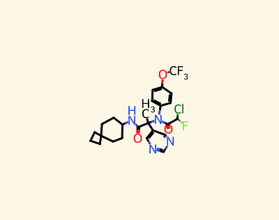 CC(C(=O)NC1CCC2(CCC2)CC1)(c1cncnc1)N(C(=O)[C@H](F)Cl)c1ccc(OC(F)(F)F)cc1